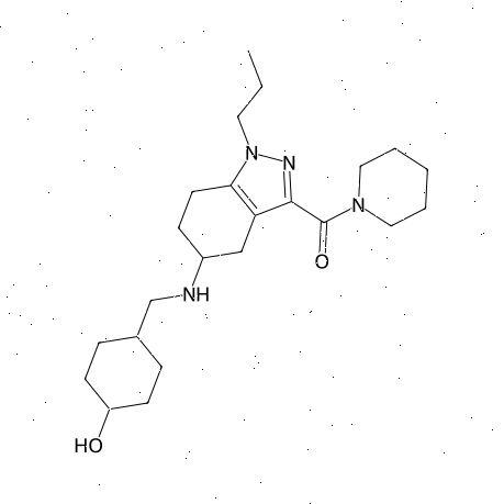 CCCn1nc(C(=O)N2CCCCC2)c2c1CCC(NCC1CCC(O)CC1)C2